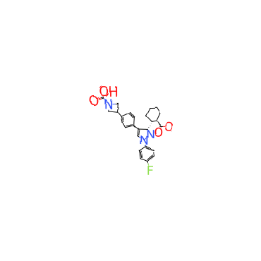 COC(=O)[C@@H]1CCCC[C@H]1c1nn(-c2ccc(F)cc2)cc1-c1ccc(C2CN(C(=O)O)C2)cc1